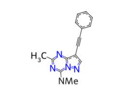 CNc1nc(C)nc2c(C#Cc3ccccc3)cnn12